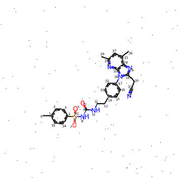 Cc1ccc(S(=O)(=O)NC(=O)NCCc2ccc(-n3c(CC#N)nc4c(C)cc(C)nc43)cc2)cc1